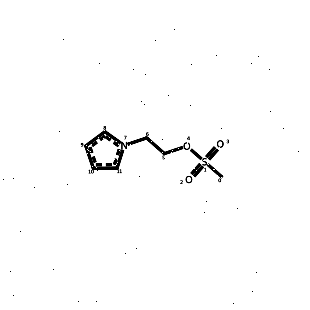 CS(=O)(=O)OCCn1cccc1